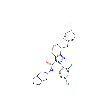 O=C(NN1CC2CCCC2C1)c1c2c(nn1-c1ccc(Cl)cc1Cl)C(CC1=CCC(F)C=C1)CSC2